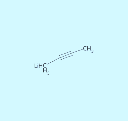 CC#CC.[LiH]